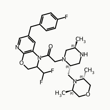 C[C@@H]1CN(CC(=O)N2c3cc(Cc4ccc(F)cc4)cnc3OCC2C(F)F)[C@@H](CN2[C@H](C)COC[C@H]2C)CN1